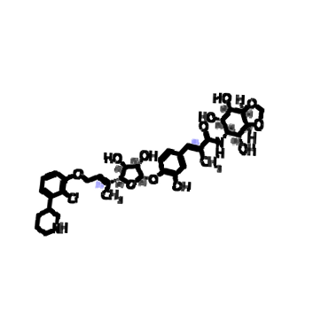 C/C(=C\c1ccc(O[C@@H]2O[C@H](/C(C)=C/COc3cccc(C4CCCNC4)c3Cl)[C@@H](O)[C@@H]2O)c(O)c1)C(=O)N[C@@H]1[C@H](O)[C@@H](O)[C@H]2OCO[C@H]2[C@@H]1O